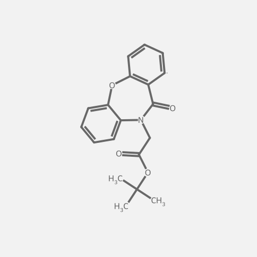 CC(C)(C)OC(=O)CN1C(=O)c2[c]cccc2Oc2ccccc21